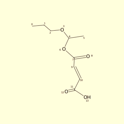 CCCOC(C)OC(=O)C=CC(=O)O